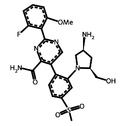 COc1cccc(F)c1-c1ncc(-c2ccc(S(C)(=O)=O)cc2N2C[C@@H](N)C[C@H]2CO)c(C(N)=O)n1